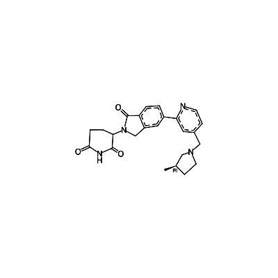 C[C@@H]1CCN(Cc2ccnc(-c3ccc4c(c3)CN(C3CCC(=O)NC3=O)C4=O)c2)C1